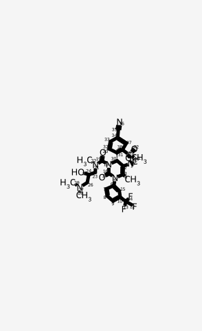 [C-]#[N+]C1=C(C)N(c2cccc(C(F)(F)F)c2)C(=O)N(C(=O)N(C)CC(O)CN(C)C)[C@@H]1c1ccc(C#N)cc1S(C)(=O)=O